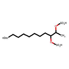 CCCCCCCCCCCCCCCCCC(OS(=O)(=O)O)C(C)OS(=O)(=O)O